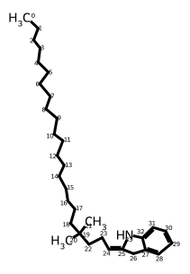 CCCCCCCCCCCCCCCCCCCC(C)(C)CCC=C1Cc2ccccc2N1